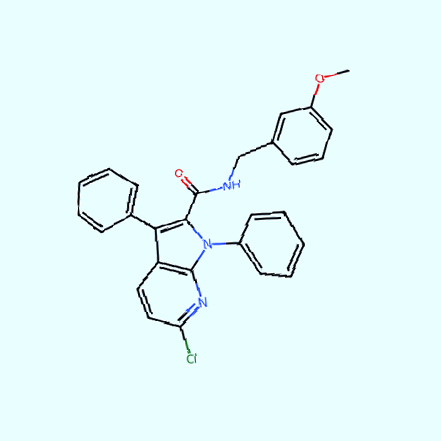 COc1cccc(CNC(=O)c2c(-c3ccccc3)c3ccc(Cl)nc3n2-c2ccccc2)c1